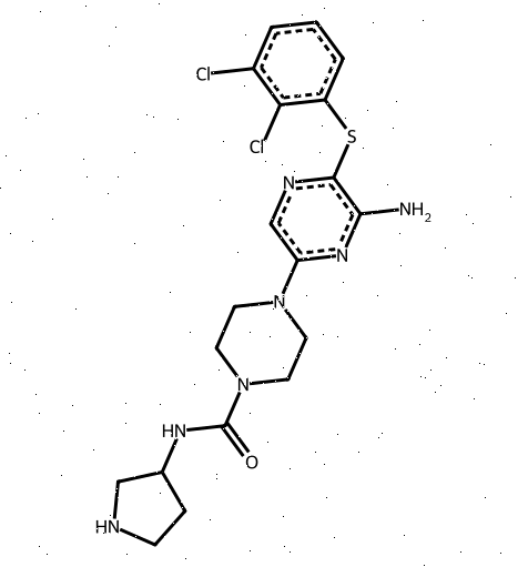 Nc1nc(N2CCN(C(=O)NC3CCNC3)CC2)cnc1Sc1cccc(Cl)c1Cl